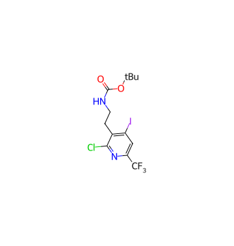 CC(C)(C)OC(=O)NCCc1c(I)cc(C(F)(F)F)nc1Cl